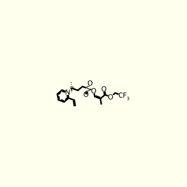 C=Cc1cccc[n+]1[C@H](C)CCS(=O)(=O)OC=C(C)C(=O)OCC(F)(F)F